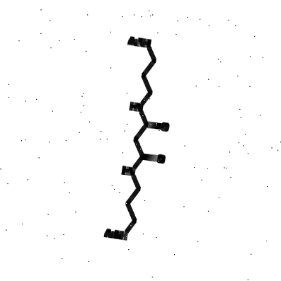 CC(=O)NCCCNC(=O)CC(=O)NCCCNC(C)=O